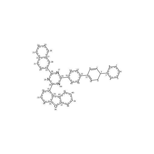 C1=CC(c2ccccc2)CC=C1c1ccc(-c2nc(-c3ccc4ccccc4c3)nc(-c3cccc4oc5ccccc5c34)n2)cc1